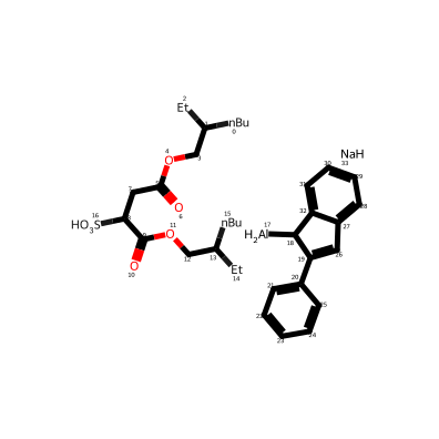 CCCCC(CC)COC(=O)CC(C(=O)OCC(CC)CCCC)S(=O)(=O)O.[AlH2][CH]1C(c2ccccc2)=Cc2ccccc21.[NaH]